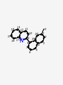 Cc1ccc2cccc(-c3ccc4ccccc4n3)c2c1